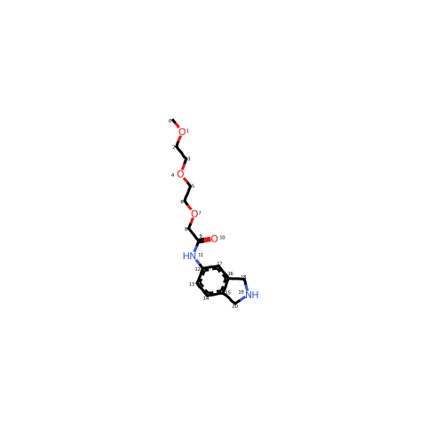 COCCOCCOCC(=O)Nc1ccc2c(c1)CNC2